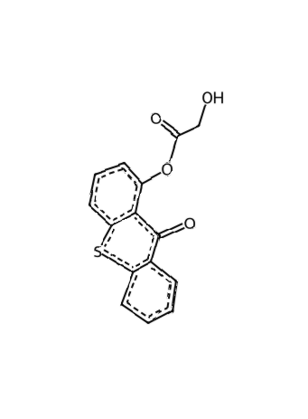 O=C(CO)Oc1cccc2sc3ccccc3c(=O)c12